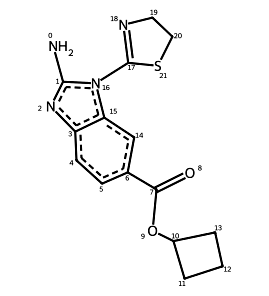 Nc1nc2ccc(C(=O)OC3CCC3)cc2n1C1=NCCS1